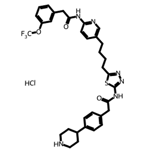 Cl.O=C(Cc1cccc(OC(F)(F)F)c1)Nc1ccc(CCCCc2nnc(NC(=O)Cc3ccc(C4CCNCC4)cc3)s2)cn1